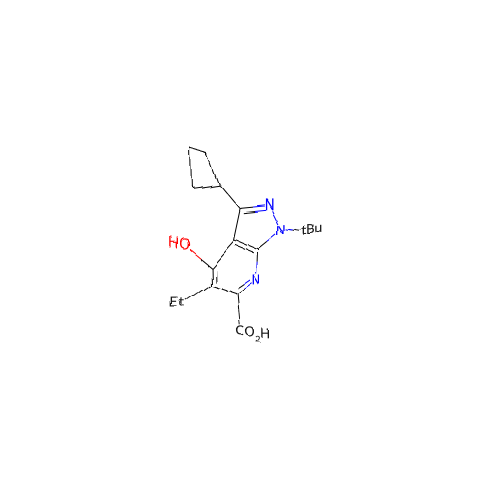 CCc1c(C(=O)O)nc2c(c(C3CCC3)nn2C(C)(C)C)c1O